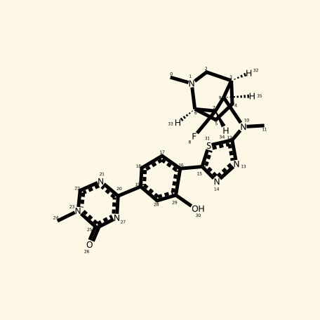 CN1C[C@H]2CC[C@@H]1[C@@H](F)[C@@H]2N(C)c1nnc(-c2ccc(-c3ncn(C)c(=O)n3)cc2O)s1